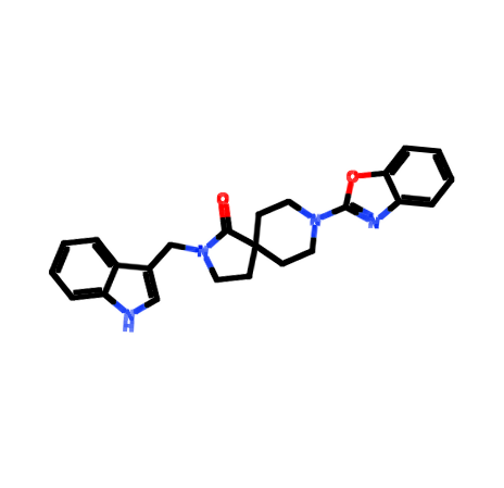 O=C1N(Cc2c[nH]c3ccccc23)CCC12CCN(c1nc3ccccc3o1)CC2